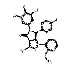 COc1ncccc1-n1nc(C)c2c1C(c1ccc(Cl)cc1)N(c1cc(Cl)c(=O)n(C)c1)C2=O